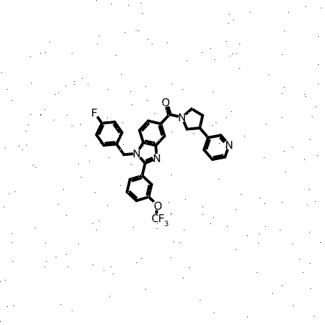 O=C(c1ccc2c(c1)nc(-c1cccc(OC(F)(F)F)c1)n2Cc1ccc(F)cc1)N1CCC(c2cccnc2)C1